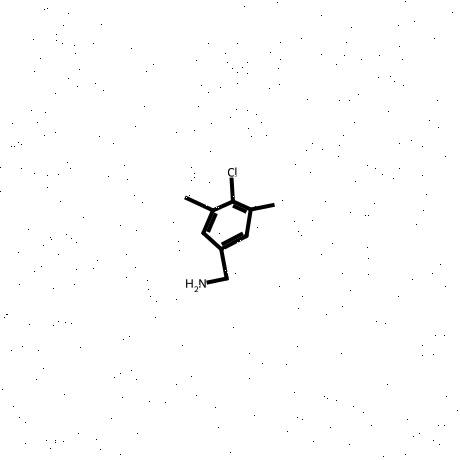 Cc1cc(CN)cc(C)c1Cl